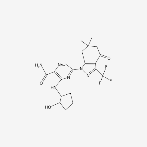 CC1(C)CC(=O)c2c(C(F)(F)F)nn(-c3cnc(C(N)=O)c(NC4CCCC4O)n3)c2C1